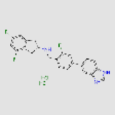 Cl.Cl.Fc1cc(F)c2c(c1)CC(NCc1ccc(-c3ccc4[nH]cnc4c3)cc1F)C2